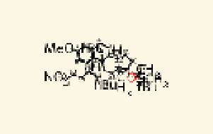 C=C[C@@]12CCc3cc(OC)ccc3[C@H]1[C@@H](C(CCCC)CCCCC#N)C[C@]1(C)[C@@H](O[Si](C)(C)C(C)(C)C)CC[C@H]12